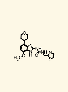 COc1ccc(C2CCOCC2)c2nc(NC(=O)NCc3nccs3)[nH]c12